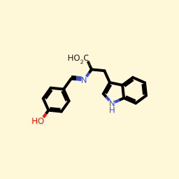 O=C(O)C(Cc1c[nH]c2ccccc12)N=Cc1ccc(O)cc1